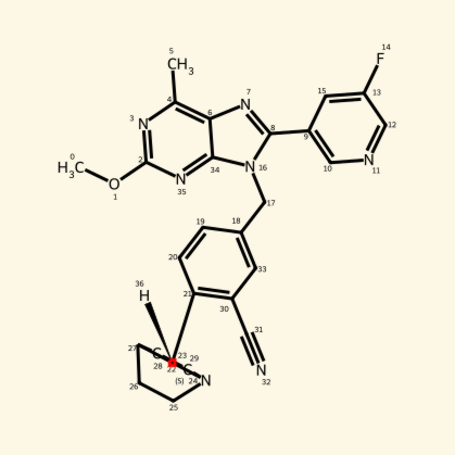 COc1nc(C)c2nc(-c3cncc(F)c3)n(Cc3ccc([C@H]4CN5CCC4CC5)c(C#N)c3)c2n1